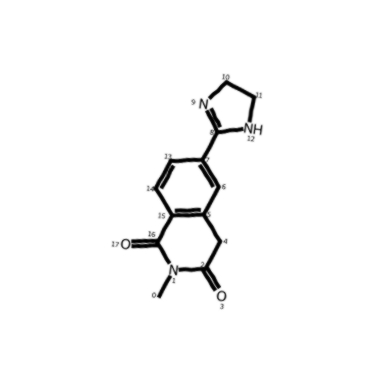 CN1C(=O)Cc2cc(C3=NCCN3)ccc2C1=O